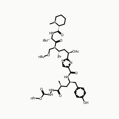 CCCCOCN(C(=O)[C@@H](NC(=O)[C@H]1CCCCN1C)C(C)CC)[C@H](C[C@@H](OC(C)=O)c1nc(C(=O)N[C@@H](Cc2ccc(O)cc2)C[C@H](C)C(=O)NNC(=O)OCCC)cs1)C(C)C